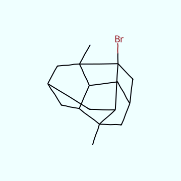 CC12CC3CC4C1CC1CC2C(Br)(C3)C4(C)C1